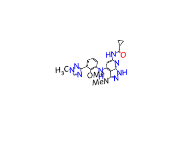 CNc1n[nH]c2nc(NC(=O)C3CC3)cc(Nc3cccc(-c4ncn(C)n4)c3OC)c12